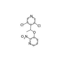 CC(Oc1cccnc1[N+](=O)[O-])c1c(Cl)cncc1Cl